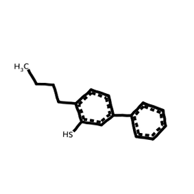 CCCCc1ccc(-c2ccccc2)cc1S